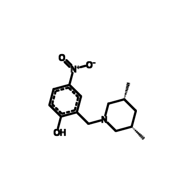 C[C@@H]1C[C@H](C)CN(Cc2cc([N+](=O)[O-])ccc2O)C1